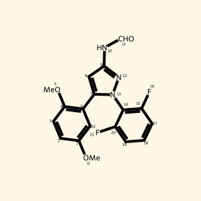 COc1ccc(OC)c(-c2cc(NC=O)nn2-c2c(F)cccc2F)c1